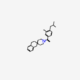 C=C(c1ccc(CC(C)C)c(C)c1)N1CCC2(CCc3ccccc3C2)CC1